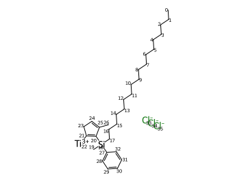 CCCCCCCCCCCCCCCCCC[Si](C)(C1=[C]([Ti+3])CC=C1C)c1ccccc1.[Cl-].[Cl-].[Cl-]